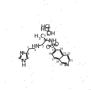 C[C@H](CNCCc1c[nH]cn1)NS(=O)(=O)c1ccc2cnccc2c1.Cl.Cl.Cl